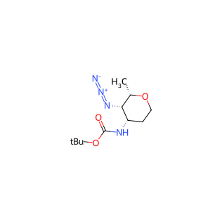 C[C@@H]1OCC[C@H](NC(=O)OC(C)(C)C)[C@@H]1N=[N+]=[N-]